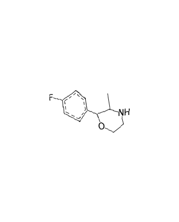 CC1NCCOC1c1ccc(F)cc1